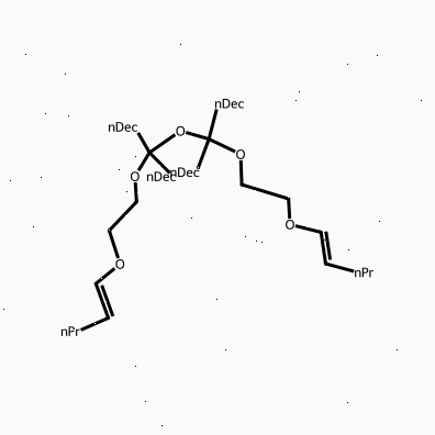 CCCC=COCCOC(CCCCCCCCCC)(CCCCCCCCCC)OC(CCCCCCCCCC)(CCCCCCCCCC)OCCOC=CCCC